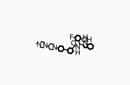 CN1CCN(C2CCN(c3ccc(-c4cccc(C(=O)NC(c5cc6ccccc6[nH]5)c5cc(F)ccc5O)c4)cc3)CC2)CC1